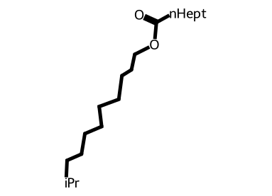 CCCCCCCC(=O)OCCCCCCCCCC(C)C